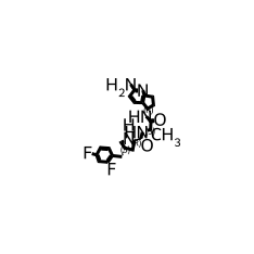 C[C@H](NC(=O)[C@H]1C[C@H](Cc2ccc(F)cc2F)CN1)C(=O)N[C@@H]1CCc2nc(N)ccc21